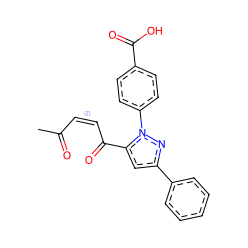 CC(=O)/C=C\C(=O)c1cc(-c2ccccc2)nn1-c1ccc(C(=O)O)cc1